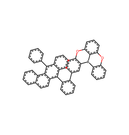 c1ccc(-c2c3ccccc3c(-c3ccccc3-c3ccc4c(c3)B3c5ccccc5Oc5cccc(c53)O4)c3ccc4ccccc4c23)cc1